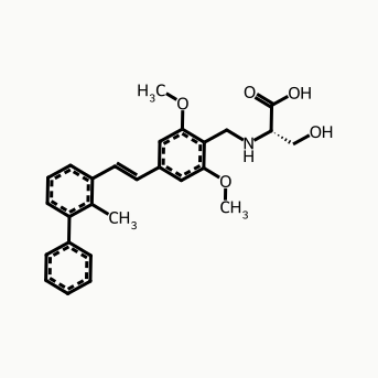 COc1cc(/C=C/c2cccc(-c3ccccc3)c2C)cc(OC)c1CN[C@@H](CO)C(=O)O